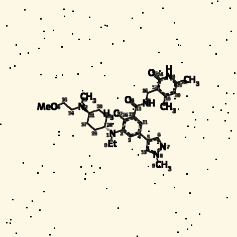 CCN(c1cc(-c2cnn(C)c2)cc(C(=O)NCc2c(C)cc(C)[nH]c2=O)c1C)[C@H]1CC[C@H](N(C)CCOC)CC1